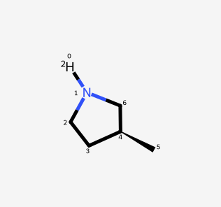 [2H]N1CC[C@H](C)C1